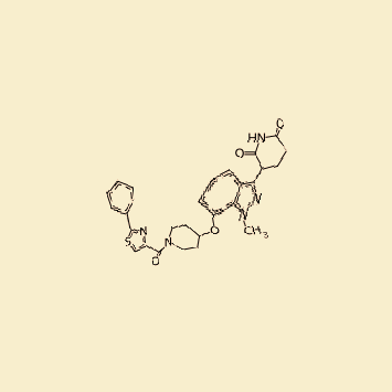 Cn1nc(C2CCC(=O)NC2=O)c2cccc(OC3CCN(C(=O)c4csc(-c5ccccc5)n4)CC3)c21